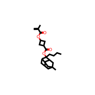 C=C(C)C(=O)OC1CC(C(=O)OC2(CCCC)C3CC4CC2CC(C)(C4)C3)C1